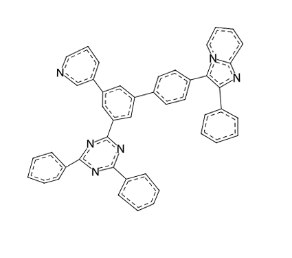 c1ccc(-c2nc(-c3ccccc3)nc(-c3cc(-c4ccc(-c5c(-c6ccccc6)nc6ccccn56)cc4)cc(-c4cccnc4)c3)n2)cc1